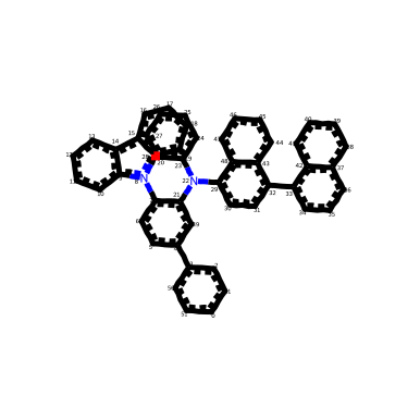 c1ccc(-c2ccc(-n3c4ccccc4c4ccccc43)c(N(c3ccccc3)c3ccc(-c4cccc5ccccc45)c4ccccc34)c2)cc1